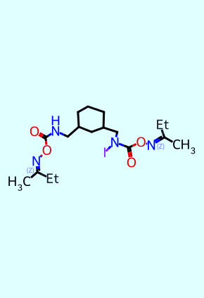 CC/C(C)=N\OC(=O)NCC1CCCC(CN(I)C(=O)O/N=C(/C)CC)C1